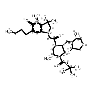 CCCCc1cc2c(n(C)c1=O)C(C)(C)CN2CC(=O)N1C[C@@H](C)N(C(=O)OC(C)(C)C)C[C@@H]1CN1[C@H](C)COC[C@H]1C